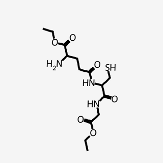 CCOC(=O)CNC(=O)C(CS)NC(=O)CCC(N)C(=O)OCC